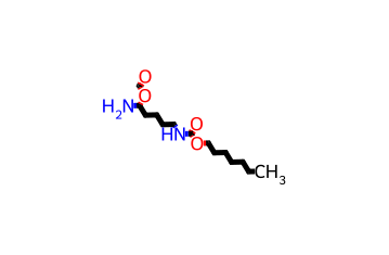 CCCCCCCOC(=O)NCCCCC(N)OC=O